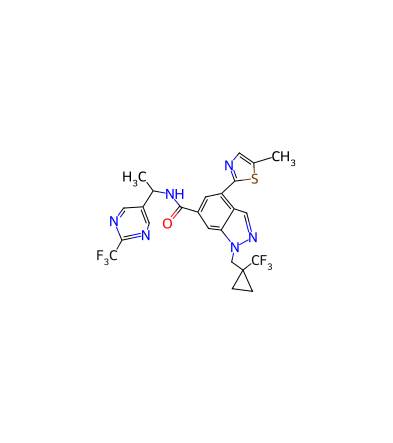 Cc1cnc(-c2cc(C(=O)NC(C)c3cnc(C(F)(F)F)nc3)cc3c2cnn3CC2(C(F)(F)F)CC2)s1